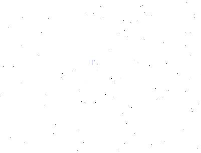 O=C1CS[S+]([O-])N1